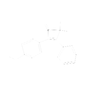 CSc1ccc(C2=C(c3ccccc3)C(C)(C)C2=O)cc1